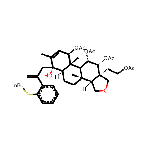 C=C(C[C@@]1(O)C(C)=C[C@@H](OC(C)=O)[C@]2(C)C3[C@H](OC(C)=O)[C@H](OC(C)=O)[C@@]4(CCOC(C)=O)COC[C@H]4[C@]3(C)CC[C@H]21)c1ccccc1SCCCC